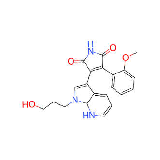 COc1ccccc1C1=C(C2=CN(CCCO)C3NC=CC=C23)C(=O)NC1=O